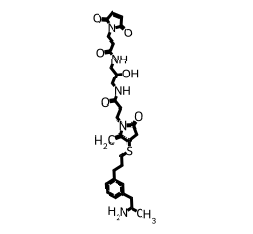 C=C1C(SCCCc2cccc(CC(C)N)c2)CC(=O)N1CCC(=O)NCC(O)CNC(=O)CCN1C(=O)C=CC1=O